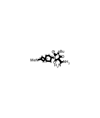 CCCCN1C(=O)C(=C(N)N)C(=O)N(C2CCC3(CC2)CC(NC)C3)C1=O